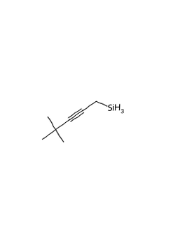 CC(C)(C)C#CC[SiH3]